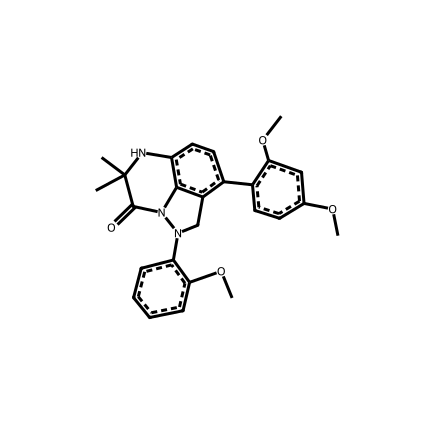 COc1ccc(-c2ccc3c4c2CN(c2ccccc2OC)N4C(=O)C(C)(C)N3)c(OC)c1